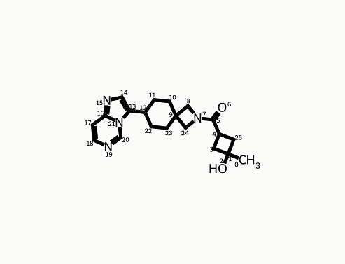 CC1(O)CC(C(=O)N2CC3(CCC(c4cnc5ccncn45)CC3)C2)C1